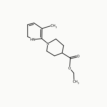 CCOC(=O)C1CCN(C2=C(C)C=CCN2)CC1